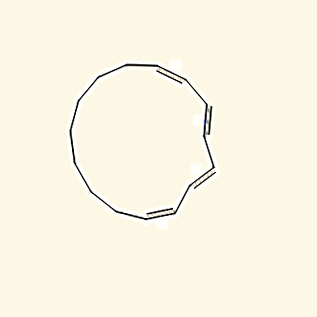 [C]1=C/C=C/C=C/C=C\CCCCCCC\1